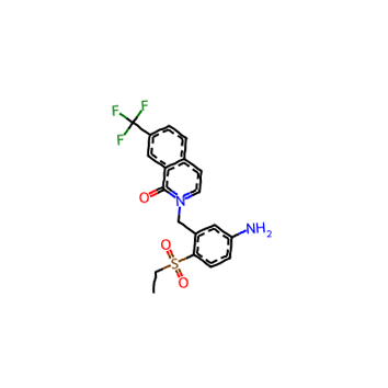 CCS(=O)(=O)c1ccc(N)cc1Cn1ccc2ccc(C(F)(F)F)cc2c1=O